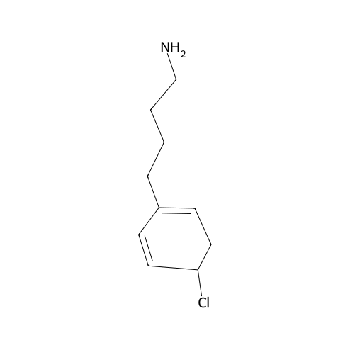 NCCCCC1=CCC(Cl)C=C1